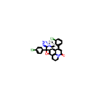 C=CN(C)/C(=N\N)C1(c2ccc(Cl)cc2)Oc2c1cc1c(-c3cccc(Cl)c3)cc(=O)n3c1c2CCC3